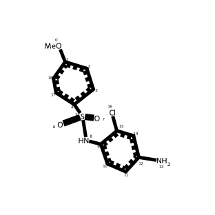 COc1ccc(S(=O)(=O)Nc2ccc(N)cc2Cl)cc1